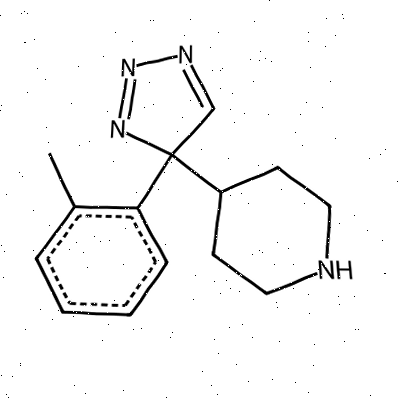 Cc1ccccc1C1(C2CCNCC2)C=NN=N1